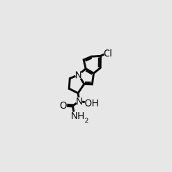 NC(=O)N(O)C1CCn2c1cc1cc(Cl)ccc12